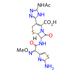 CO/N=C(\C(=O)NC1C(=O)N2C(C(=O)O)=C(c3nnc(NC(C)=O)[nH]3)CS[C@H]12)c1csc(N)n1